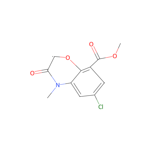 COC(=O)c1cc(Cl)cc2c1O[CH]C(=O)N2C